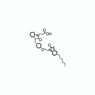 CCCCCCc1ccc2c(c1)sc(=O)n2CCOc1ccc(CC2C(=O)N(CCC(=O)O)c3ccccc32)cc1